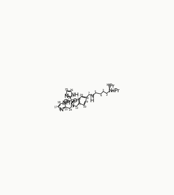 CC(C)N(CCCCNCc1ccc(CN(Cc2ncc[nH]2)S(=O)(=O)c2ncc[nH]2)cc1)C(C)C